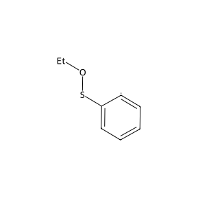 CCOSc1[c]cccc1